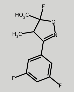 CC1C(c2cc(F)cc(F)c2)=NOC1(F)C(=O)O